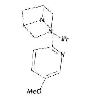 COc1ccc(CN2C3CC2CN(C(C)C)C3)nc1